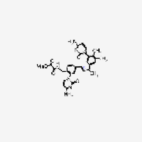 COC(=O)C(=O)NCc1ccc(/C=C/C(C)c2cc(C)c(C)c(-n3ccc(N)nc3=O)c2)cc1-n1ccc(N)nc1=O